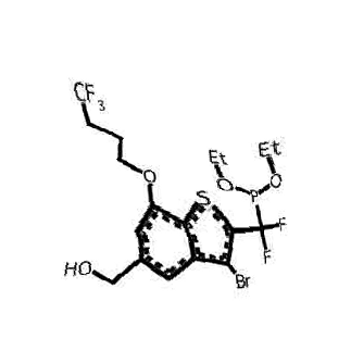 CCOP(OCC)C(F)(F)c1sc2c(OCCCC(F)(F)F)cc(CO)cc2c1Br